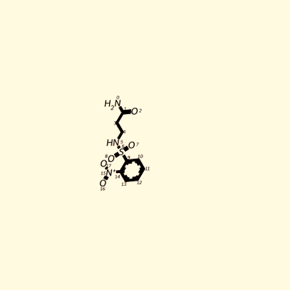 NC(=O)CCNS(=O)(=O)c1ccccc1[N+](=O)[O-]